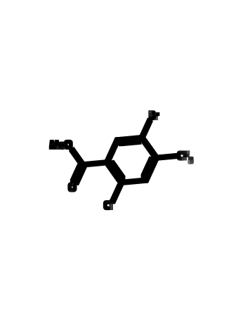 COC(=O)c1cc(Br)c(C(F)(F)F)cc1Cl